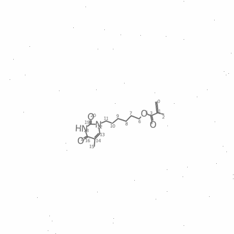 C=C(C)C(=O)OCCCCCCn1cc(C)c(=O)[nH]c1=O